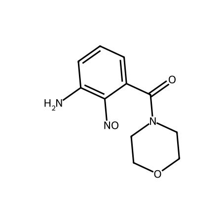 Nc1cccc(C(=O)N2CCOCC2)c1N=O